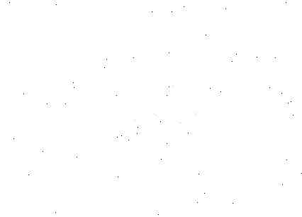 OC1(Nc2ccnc3ccc(N4CCC[C@@H]4c4cc(F)ccc4F)nc23)CCCC1